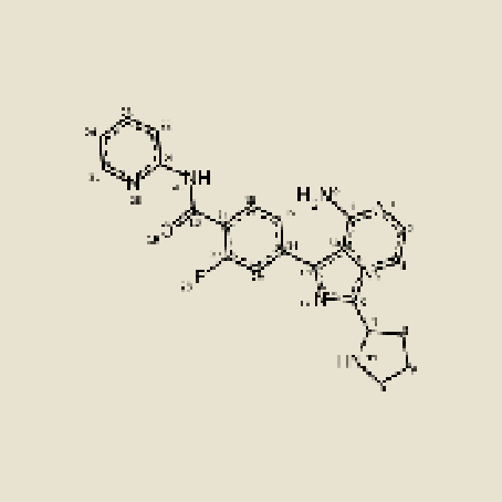 Nc1nccn2c(C3CCCN3)nc(-c3ccc(C(=O)Nc4ccccn4)c(F)c3)c12